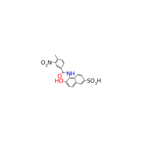 Cc1ccc(C(=O)Nc2c(O)ccc3cc(S(=O)(=O)O)ccc23)cc1[N+](=O)[O-]